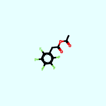 CC(=O)OC(=O)Cc1c(F)c(F)c(F)c(F)c1F